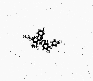 COc1cc(-c2ccc(F)cc2)c(S(=O)(=O)Nc2ccc(Cl)c(O[C@@H]3CCN(C)C3)c2)c(Cl)c1OC